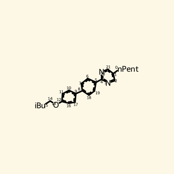 CCCCCc1cnc(-c2ccc(-c3ccc(OCC(C)CC)cc3)cc2)nc1